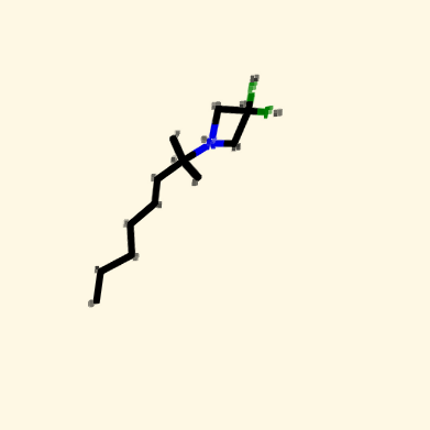 CCCCCCC(C)(C)N1CC(F)(F)C1